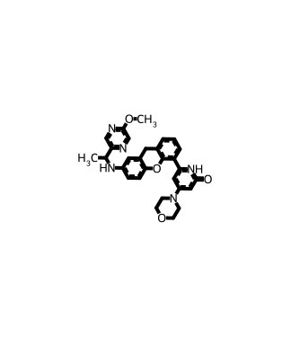 COc1cnc(C(C)Nc2ccc3c(c2)Cc2cccc(-c4cc(N5CCOCC5)cc(=O)[nH]4)c2O3)cn1